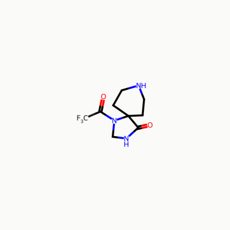 O=C(N1CNC(=O)C12CCNCC2)C(F)(F)F